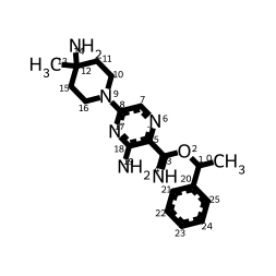 CC(OC(=N)c1ncc(N2CCC(C)(N)CC2)nc1N)c1ccccc1